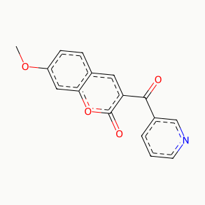 COc1ccc2cc(C(=O)c3cccnc3)c(=O)oc2c1